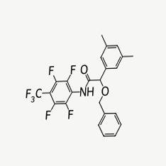 Cc1cc(C)cc(C(OCc2ccccc2)C(=O)Nc2c(F)c(F)c(C(F)(F)F)c(F)c2F)c1